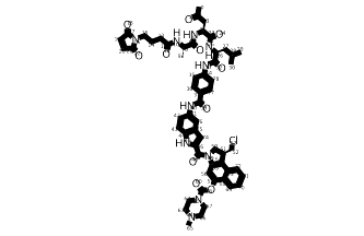 CC(=O)C[C@H](NC(=O)[C@H](C)NC(=O)CCCN1C(=O)C=CC1=O)C(=O)N[C@@H](CC(C)C)C(=O)Nc1ccc(C(=O)Nc2ccc3[nH]c(C(=O)N4C[C@@H](CCl)c5c4cc(OC(=O)N4CCN(C)CC4)c4ccccc54)cc3c2)cc1